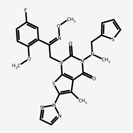 CON=C(Cn1c(=O)n(N(C)Cc2cccs2)c(=O)c2c(C)c(-n3nccn3)sc21)c1cc(F)ccc1OC